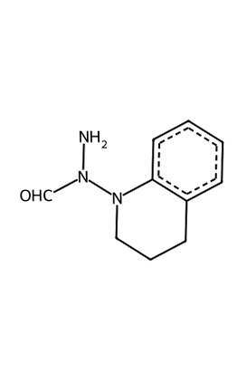 NN(C=O)N1CCCc2ccccc21